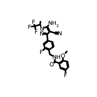 COc1ccc(F)cc1C(=O)NCc1ccc(-c2nn(C(C)C(F)(F)F)c(N)c2C#N)cc1F